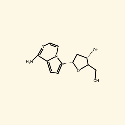 Nc1ncnn2c([C@@H]3C[C@H](O)C(CO)O3)ccc12